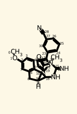 COc1ccc2c(c1)C[C@H]1[C@]23C(=O)N(C)C(=N)N[C@@]13c1ccc(-c2cccc(C#N)c2)s1